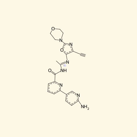 C#Cc1nc(N2CCOCC2)oc1/N=C(\C)NC(=O)c1cccc(-c2ccc(N)nc2)n1